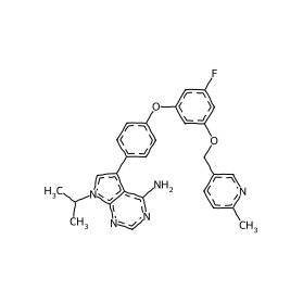 Cc1ccc(COc2cc(F)cc(Oc3ccc(-c4cn(C(C)C)c5ncnc(N)c45)cc3)c2)cn1